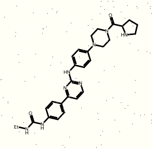 CCNC(=O)Nc1ccc(-c2ccnc(Nc3ccc(N4CCN(C(=O)C5CCCN5)CC4)cc3)n2)cc1